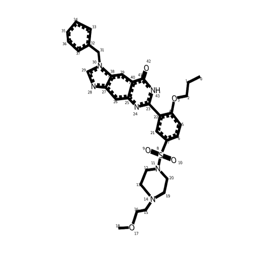 CCCOc1ccc(S(=O)(=O)N2CCN(CCOC)CC2)cc1-c1nc2cc3ncn(Cc4ccccc4)c3cc2c(=O)[nH]1